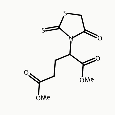 COC(=O)CCC(C(=O)OC)N1C(=O)CSC1=S